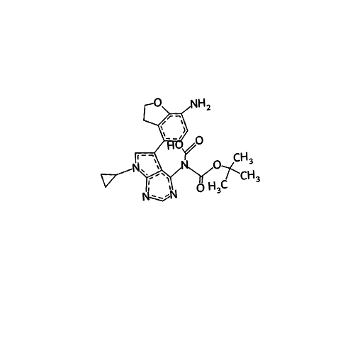 CC(C)(C)OC(=O)N(C(=O)O)c1ncnc2c1c(-c1ccc(N)c3c1CCO3)cn2C1CC1